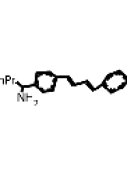 CCCC(N)c1ccc(/C=C/C=C/c2ccccc2)cc1